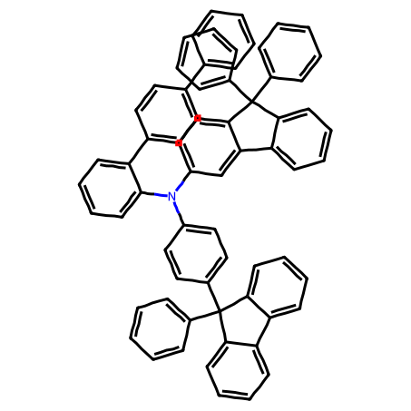 c1ccc(-c2ccc(-c3ccccc3N(c3ccc(C4(c5ccccc5)c5ccccc5-c5ccccc54)cc3)c3ccc4c(c3)-c3ccccc3C4(c3ccccc3)c3ccccc3)cc2)cc1